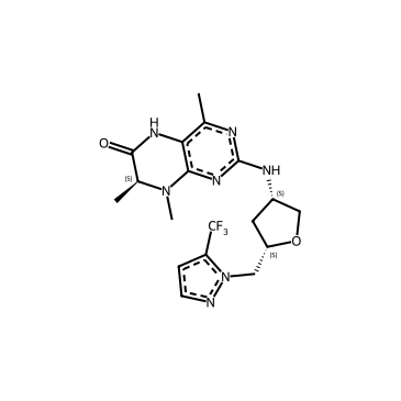 Cc1nc(N[C@@H]2CO[C@H](Cn3nccc3C(F)(F)F)C2)nc2c1NC(=O)[C@H](C)N2C